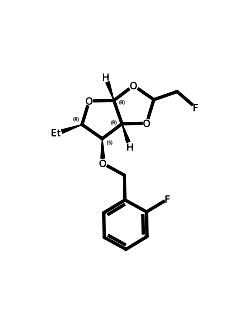 CC[C@H]1O[C@@H]2OC(CF)O[C@@H]2[C@H]1OCc1ccccc1F